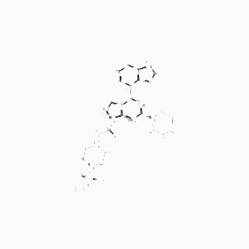 CS(=O)(=O)N1CCN(CC(=O)n2ncc3c(-c4cccc5[nH]ccc45)nc(N4CCOCC4)nc32)CC1